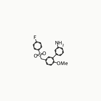 COc1ccc(CS(=O)(=O)c2ccc(F)cc2)cc1-c1cccc(N)c1